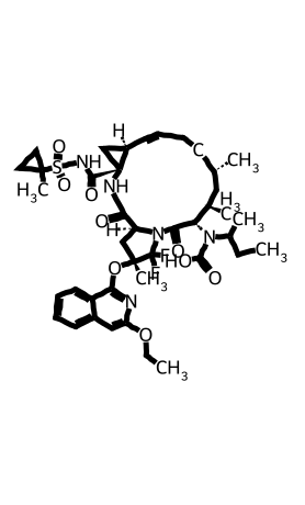 CCOc1cc2ccccc2c(O[C@]2(C)C[C@H]3C(=O)N[C@]4(C(=O)NS(=O)(=O)C5(C)CC5)C[C@H]4/C=C\CC[C@H](C)C[C@@H](C)[C@H](N(C(=O)O)C(C)CC)C(=O)N3C2(F)F)n1